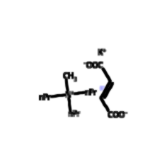 CCC[N+](C)(CCC)CCC.O=C([O-])/C=C/C(=O)[O-].[K+]